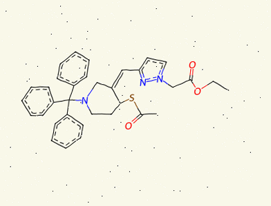 CCOC(=O)Cn1ccc(C=C2CN(C(c3ccccc3)(c3ccccc3)c3ccccc3)CCC2SC(C)=O)n1